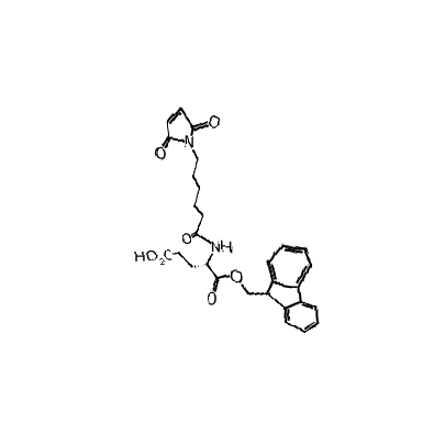 O=C(O)CC[C@H](NC(=O)CCCCCN1C(=O)C=CC1=O)C(=O)OCC1c2ccccc2-c2ccccc21